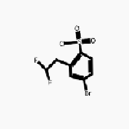 O=S(=O)(Cl)c1ccc(Br)cc1CC(F)F